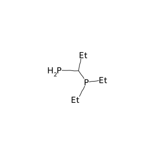 CCC(P)P(CC)CC